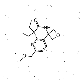 CCC1(CC)C(=O)NC2(COC2)c2ccc(COC)nc21